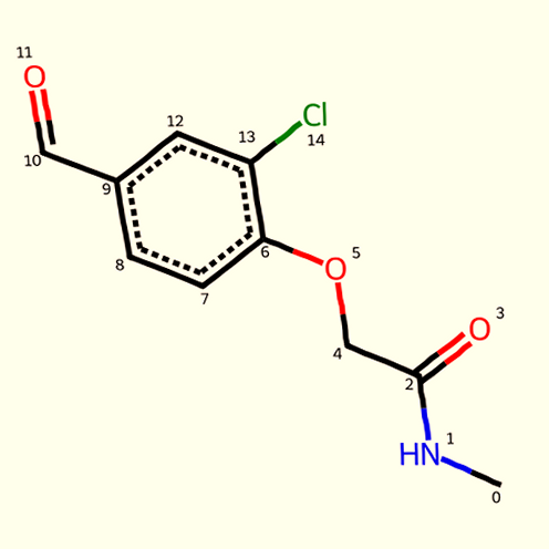 CNC(=O)COc1ccc(C=O)cc1Cl